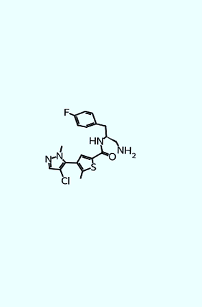 Cc1sc(C(=O)N[C@H](CN)Cc2ccc(F)cc2)cc1-c1c(Cl)cnn1C